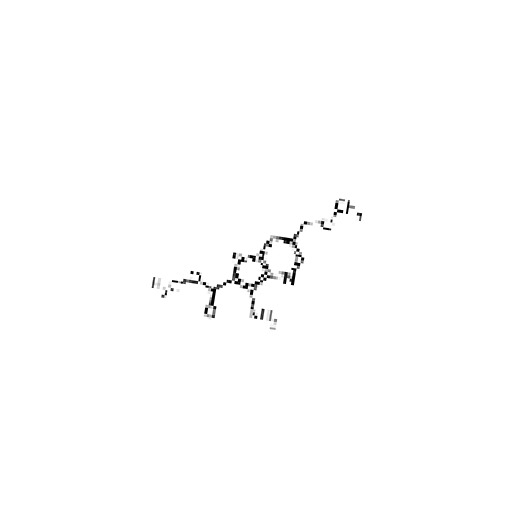 COCc1cnc2c(N)c(C(=O)OC)sc2c1